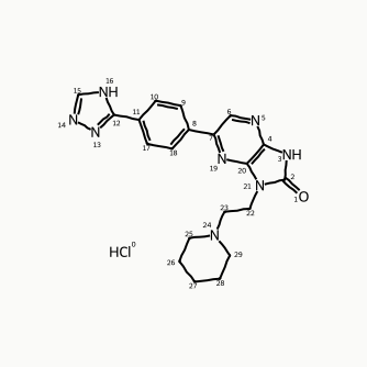 Cl.O=c1[nH]c2ncc(-c3ccc(-c4nnc[nH]4)cc3)nc2n1CCN1CCCCC1